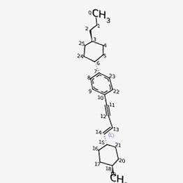 CCC[C@H]1CC[C@H](c2ccc(C#C/C=C/[C@H]3CC[C@H](C)CC3)cc2)CC1